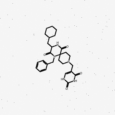 O=C1C(CC2CCCCC2)NC(=O)C2(CCN(Cc3c[nH]c(=O)[nH]c3=O)CC2)N1Cc1ccccc1